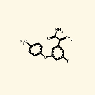 C=C(C(N)=O)c1cc(F)cc(Oc2ccc(C(F)(F)F)cc2)c1